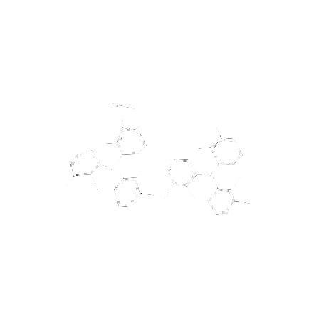 Cc1ccc[c]([Sb]([c]2cccc(C)c2C)[c]2cccc(C)c2C)c1C.Cc1ccc[c]([Sb]([c]2cccc(C)c2C)[c]2cccc(C)c2C)c1C.[I][Ni][I]